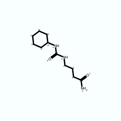 NC(=O)CCCNC(=O)NC1CCCCC1